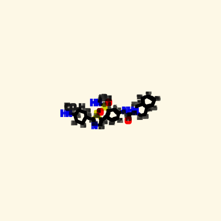 CC(C)(C)NS(=O)(=O)c1cc(NC(=O)N2CCc3ccccc3C2)ccc1-c1cnc(C2CCC(NC(=O)O)CC2)s1